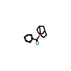 O=C(c1ccccc1)N1C2CC3CC(C2)CC1C3